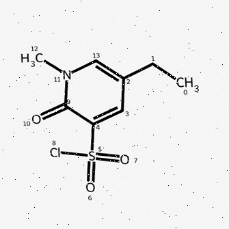 CCc1cc(S(=O)(=O)Cl)c(=O)n(C)c1